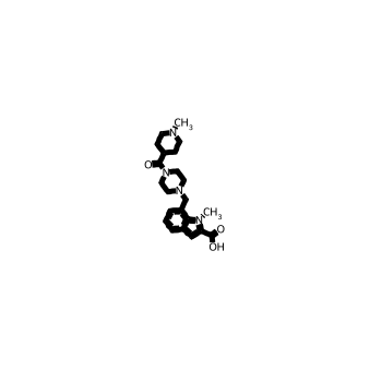 CN1CCC(C(=O)N2CCN(Cc3cccc4cc(C(=O)O)n(C)c34)CC2)CC1